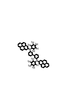 [2H]c1c([2H])c([2H])c(N(c2cccc(-c3cccc(N(c4cc5ccc6cccc7ccc(c4)c5c67)c4c([2H])c([2H])c([2H])c([2H])c4[2H])c3)c2)c2cc3ccc4cccc5ccc(c2)c3c45)c([2H])c1[2H]